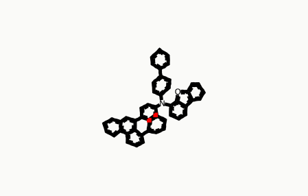 c1ccc(-c2ccc(N(c3ccc(-c4cc5ccccc5c5cccc(-c6ccccc6)c45)cc3)c3cccc4c3oc3ccccc34)cc2)cc1